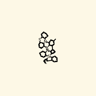 Cc1cc2c3c(c1)N1c4ccccc4Sc4cccc(c41)B3N1c3ccccc3[Si]3(c4ccccc4-c4ccccc43)c3cccc-2c31